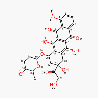 COc1cccc2c1C(=O)c1c(O)c3c(c(O)c1C2=O)CC(O)(C(=O)CO)CC3OC1CCC(O)C(C)O1